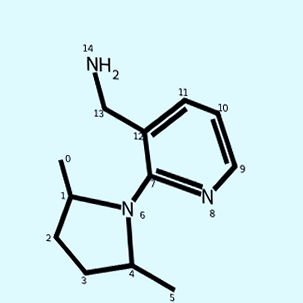 CC1CCC(C)N1c1ncccc1CN